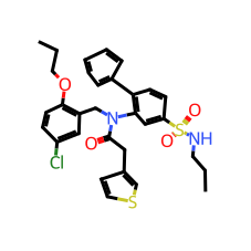 CCCNS(=O)(=O)c1ccc(-c2ccccc2)c(N(Cc2cc(Cl)ccc2OCCC)C(=O)Cc2ccsc2)c1